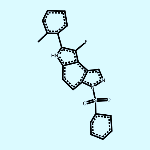 Cc1ccccc1-c1[nH]c2ccc3c(cnn3S(=O)(=O)c3ccccc3)c2c1F